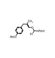 CCCCCC(CC)OC=C(C)Cc1ccc(OC)cc1